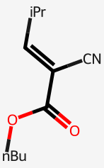 CCCCOC(=O)C(C#N)=CC(C)C